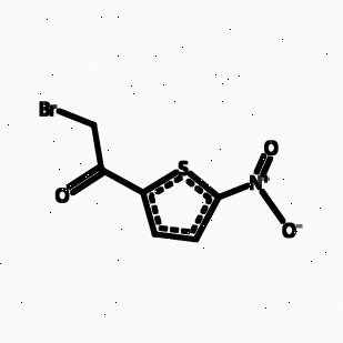 O=C(CBr)c1ccc([N+](=O)[O-])s1